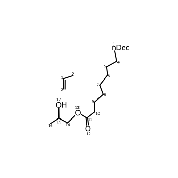 C=CC.CCCCCCCCCCCCCCCCCC(=O)OCC(C)O